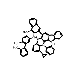 CC1=C(N2c3c(cccc3C3CC3)Sc3c(-c4cc5ccccc5c(C)c4Nc4ccc(C)c(-c5ccccc5C)c4)cc4c(sc5ccccc54)c32)C=CCC1